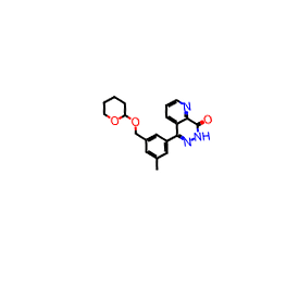 Cc1cc(COC2CCCCO2)cc(-c2n[nH]c(=O)c3ncccc23)c1